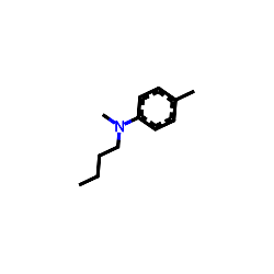 CCCCN(C)c1ccc(C)cc1